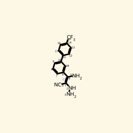 N#C/C(NN)=C(/N)c1cccc(-c2ccc(C(F)(F)F)cc2)c1